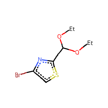 CCOC(OCC)c1nc(Br)cs1